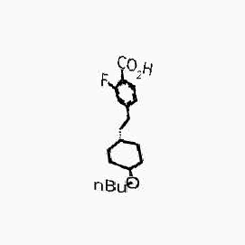 CCCCO[C@H]1CC[C@H](CCc2ccc(C(=O)O)c(F)c2)CC1